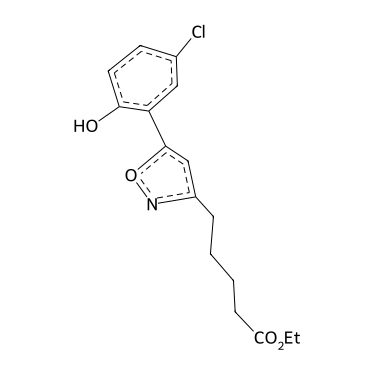 CCOC(=O)CCCCc1cc(-c2cc(Cl)ccc2O)on1